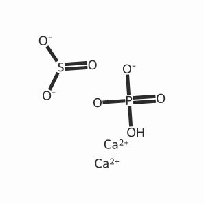 O=P([O-])([O-])O.O=S([O-])[O-].[Ca+2].[Ca+2]